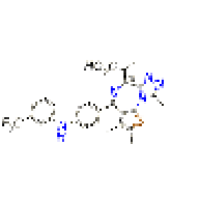 Cc1sc2c(c1C)C(c1ccc(Nc3cccc(C(F)(F)F)c3)cc1)=N[C@@H](C(C)C(=O)O)c1nnc(C)n1-2